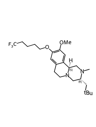 COc1cc2c(cc1OCCCCC(F)(F)F)CCN1C[C@@H](CC(C)(C)C)N(C)C[C@H]21